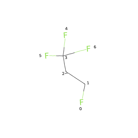 FC[C]C(F)(F)F